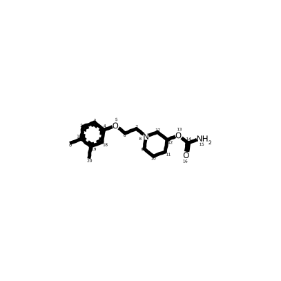 Cc1ccc(OCCN2CCCC(OC(N)=O)C2)cc1C